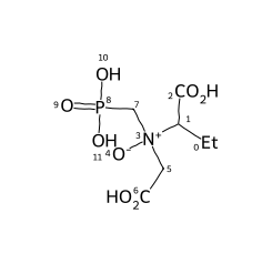 CCC(C(=O)O)[N+]([O-])(CC(=O)O)CP(=O)(O)O